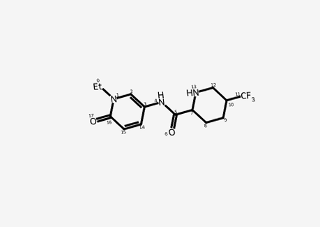 CCn1cc(NC(=O)C2CCC(C(F)(F)F)CN2)ccc1=O